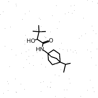 CC(C)C12CCC(NC(=O)[C@@H](O)C(C)(C)C)(CC1)CC2